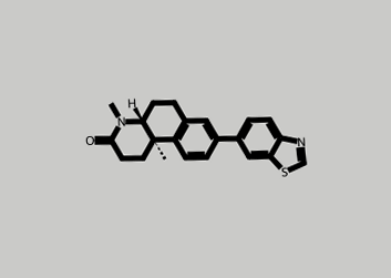 CN1C(=O)CC[C@]2(C)c3ccc(-c4ccc5ncsc5c4)cc3CC[C@@H]12